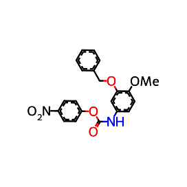 COc1ccc(NC(=O)Oc2ccc([N+](=O)[O-])cc2)cc1OCc1ccccc1